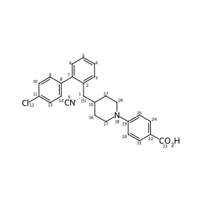 [C-]#[N+][C@H](c1ccccc1-c1ccc(Cl)cc1)C1CCN(c2ccc(C(=O)O)cc2)CC1